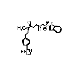 CN(CCc1ccc(C2=NCCN2)cc1)C(=O)CCNCS(=O)(=O)c1cc2ccccc2s1